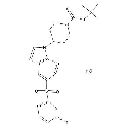 CC(C)(C)OC(=O)N1CCC(n2ccc3cc(S(=O)(=O)c4cccc(F)c4)ccc32)CC1.Cl